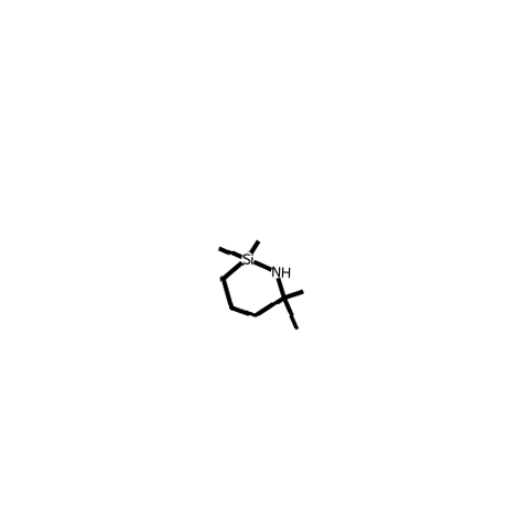 CC1(C)CCC[Si](C)(C)N1